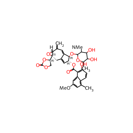 C=C1C=C2C(=C[C@@H](OC(=O)c3c(O)ccc4c(C)cc(OC)cc34)[C@@H]2OC2OC(C)C(O)C(O)C2NC)C[C@]2([C@H]3COC(=O)O3)O[C@H]12